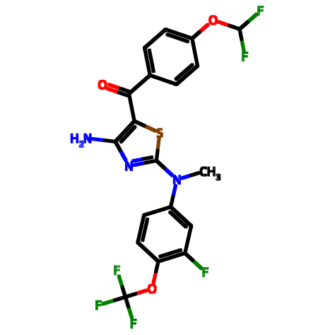 CN(c1ccc(OC(F)(F)F)c(F)c1)c1nc(N)c(C(=O)c2ccc(OC(F)F)cc2)s1